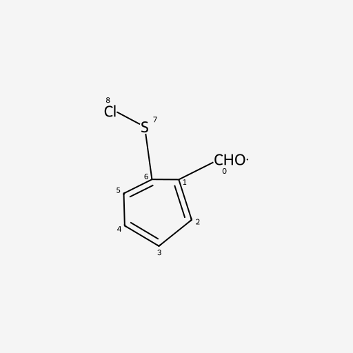 O=[C]c1ccccc1SCl